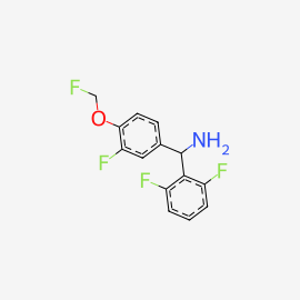 NC(c1ccc(OCF)c(F)c1)c1c(F)cccc1F